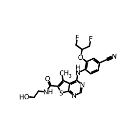 Cc1c(C(=O)NCCO)sc2ncnc(Nc3ccc(C#N)cc3OC(CF)CF)c12